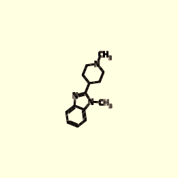 CN1CCC(c2nc3ccccc3n2C)CC1